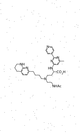 CC(=O)NCCN(CCCCc1ccc2c(n1)NCCC2)CCC(Nc1cc(C)nc(-c2ccncc2)n1)C(=O)O